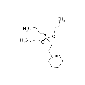 CCCO[Si](CCC1=CCCCC1)(OCCC)OCCC